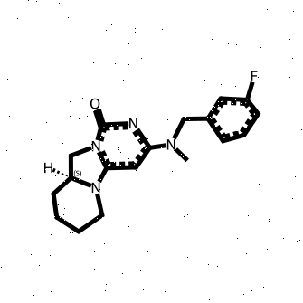 CN(Cc1cccc(F)c1)c1cc2n(c(=O)n1)C[C@@H]1CCCCN21